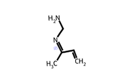 C=C/C(C)=N\CN